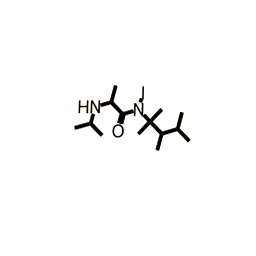 CC(C)NC(C)C(=O)N(I)C(C)(C)C(C)C(C)C